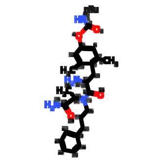 CCCCNC(=O)Oc1cc(C)c(C[C@H](N)C(=O)N(CCCc2ccccc2)[C@H](C)C(N)=O)c(C)c1